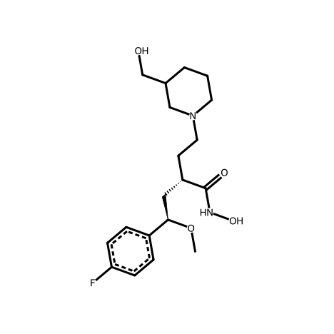 CO[C@H](C[C@H](CCN1CCCC(CO)C1)C(=O)NO)c1ccc(F)cc1